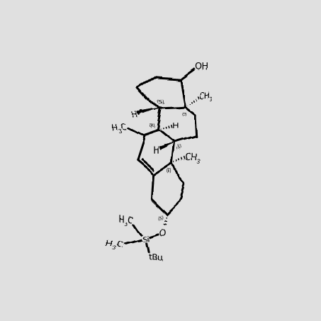 CC1C=C2C[C@@H](O[Si](C)(C)C(C)(C)C)CC[C@]2(C)[C@H]2CC[C@]3(C)C(O)CC[C@H]3[C@H]12